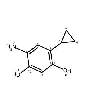 Nc1cc(C2CC2)c(O)cc1O